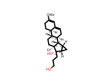 CC[C@]12CC[C@H]3[C@@H](CC=C4C=C(OC)CC[C@@H]43)[C@@H]1[C@@H]1C[C@@H]1[C@@]2(O)CCCO